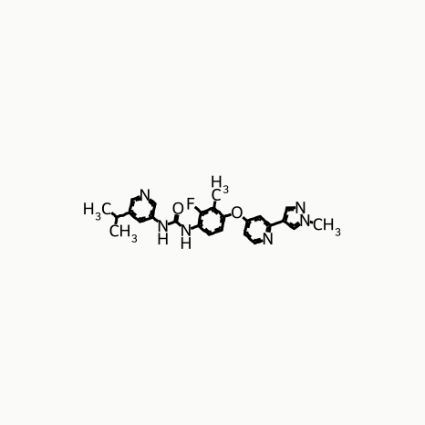 Cc1c(Oc2ccnc(-c3cnn(C)c3)c2)ccc(NC(=O)Nc2cncc(C(C)C)c2)c1F